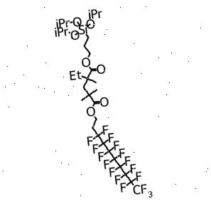 CCC(C)(CC(C)(C)C(=O)OCCC(F)(F)C(F)(F)C(F)(F)C(F)(F)C(F)(F)C(F)(F)C(F)(F)C(F)(F)F)C(=O)OCCC[Si](OC(C)C)(OC(C)C)OC(C)C